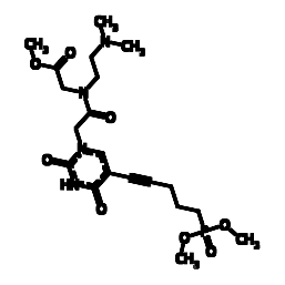 COC(=O)CN(CCN(C)C)C(=O)Cn1cc(C#CCCCP(=O)(OC)OC)c(=O)[nH]c1=O